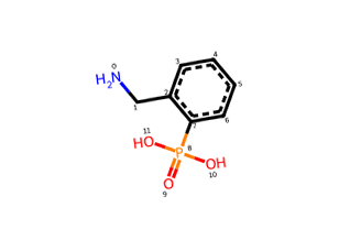 NCc1ccccc1P(=O)(O)O